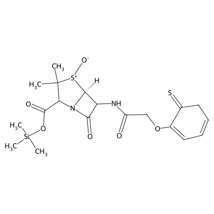 CC1(C)C(C(=O)O[Si](C)(C)C)N2C(=O)C(NC(=O)COC3=CC=CCC3=S)[C@@H]2[S+]1[O-]